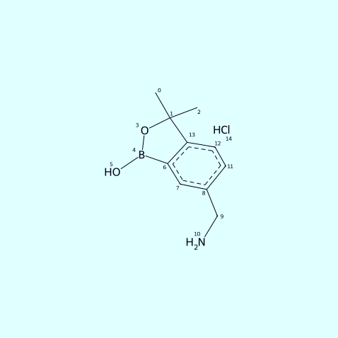 CC1(C)OB(O)c2cc(CN)ccc21.Cl